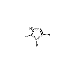 Fc1c[nH]c(F)[n+]1F